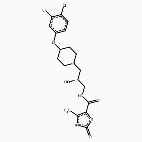 O=C(NC[C@H](O)CN1CCC(Oc2ccc(Cl)c(Cl)c2)CC1)c1sc(=O)[nH]c1C(F)(F)F